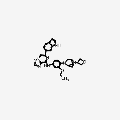 CCOc1cc(Nc2nc(-c3ccc4cc[nH]c4c3)cn3ncnc23)ccc1N1CC2CC1CN2C1COC1